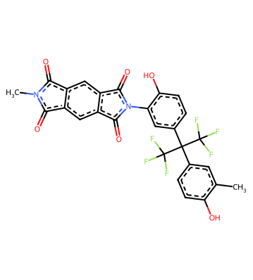 Cc1cc(C(c2ccc(O)c(-n3c(=O)c4cc5c(=O)n(C)c(=O)c5cc4c3=O)c2)(C(F)(F)F)C(F)(F)F)ccc1O